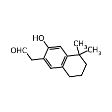 CC1(C)CCCc2cc(CC=O)c(O)cc21